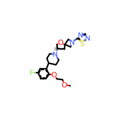 COCCOc1ccc(F)cc1C1CCN([C@@H]2COC3(C2)CN(c2ncns2)C3)CC1